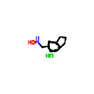 Cl.ONCc1ccc2c(c1)CCC2